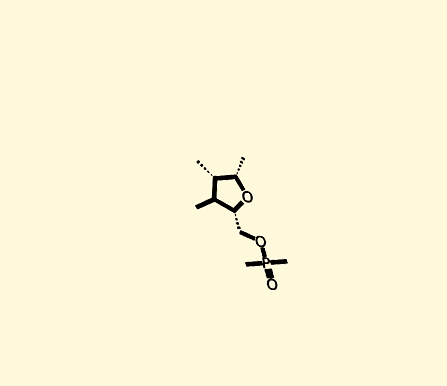 CC1[C@@H](COP(C)(C)=O)O[C@@H](C)[C@H]1C